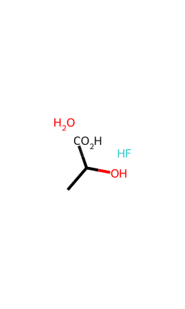 CC(O)C(=O)O.F.O